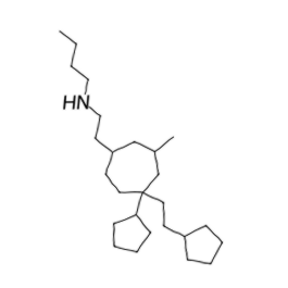 CCCCNCCC1CCC(CCC2CCCC2)(C2CCCC2)CC(C)C1